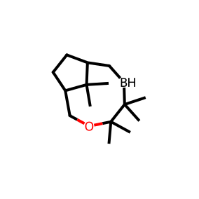 CC1(C)C2CBC(C)(C)C(C)(C)OCC1CC2